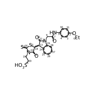 CCOc1ccc(NC(=O)CN2C(=O)/C(=C3\SC(=S)N(CCS(=O)(=O)O)C3=O)c3ccccc32)cc1